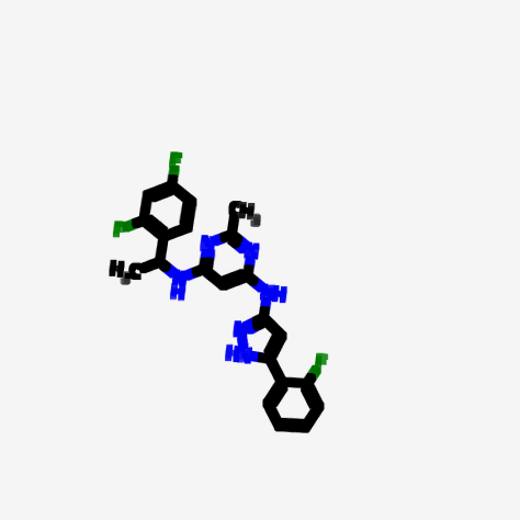 Cc1nc(Nc2cc(-c3ccccc3F)[nH]n2)cc(NC(C)c2ccc(F)cc2F)n1